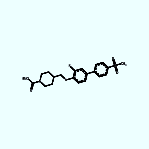 CC(C)COC(=O)N1CCC(COc2ccc(-c3ccc(S(C)(=O)=O)cc3)cc2F)CC1